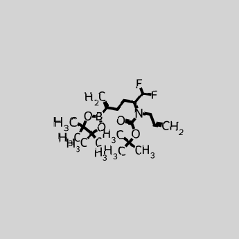 C=CCN(C(=O)OC(C)(C)C)C(CCC(=C)B1OC(C)(C)C(C)(C)O1)C(F)F